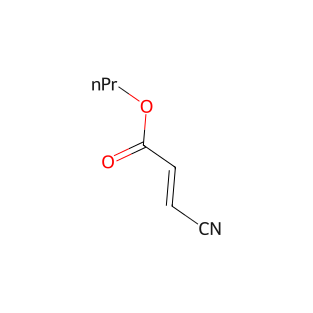 CCCOC(=O)C=CC#N